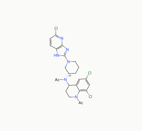 CC(=O)N1CCC(N(C(C)=O)[C@H]2CCCN(c3nc4nc(Cl)ccc4[nH]3)C2)c2cc(Cl)cc(Cl)c21